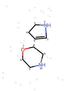 C1=CNCC1.C1COCCN1